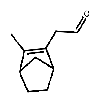 CC1=C(CC=O)C2CCC1C2